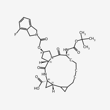 CC(C)(C)OC(=O)N[C@H]1CCCCCC2CC2[C@@H]2C[C@@]2(C(=O)O)NC(=O)[C@@H]2C[C@@H](OC(=O)N3Cc4cccc(F)c4C3)CN2C1=O